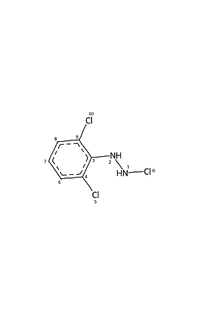 ClNNc1c(Cl)cccc1Cl